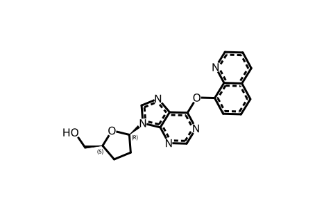 OC[C@@H]1CC[C@H](n2cnc3c(Oc4cccc5cccnc45)ncnc32)O1